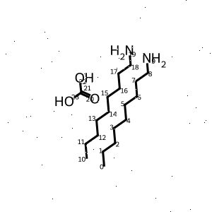 CCCCCCCCCN.CCCCCCCCCN.O=C(O)O